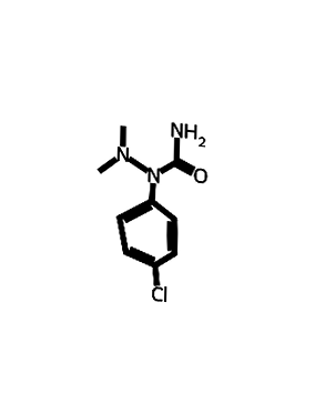 CN(C)N(C(N)=O)c1ccc(Cl)cc1